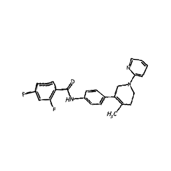 CC1=C(c2ccc(NC(=O)c3ccc(F)cc3F)cc2)CN(c2ccccn2)CC1